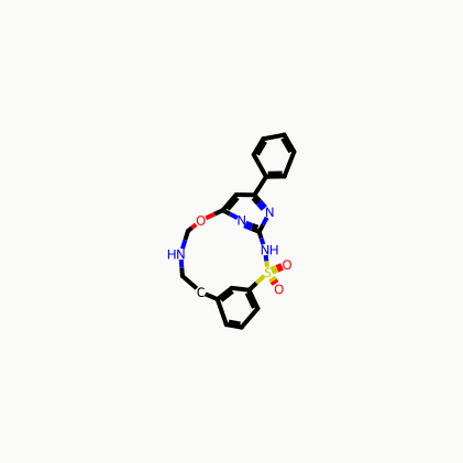 O=S1(=O)Nc2nc(cc(-c3ccccc3)n2)OCNCCc2cccc1c2